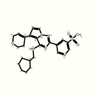 CS(=O)(=O)c1cncc(-c2nc(NCC3CCCCC3)c3c(C4=CCOCC4)ccn3n2)c1